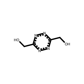 OCc1nnc(CO)nn1